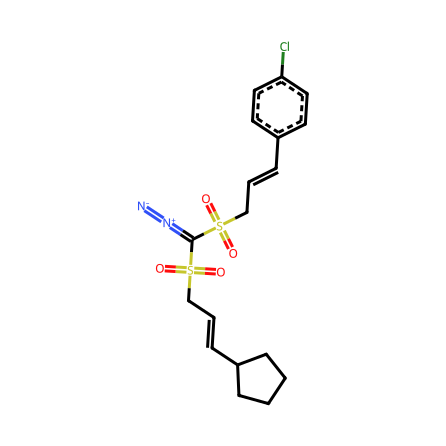 [N-]=[N+]=C(S(=O)(=O)CC=Cc1ccc(Cl)cc1)S(=O)(=O)CC=CC1CCCC1